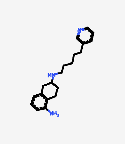 Nc1cccc2c1CCC(NCCCCCc1cccnc1)C2